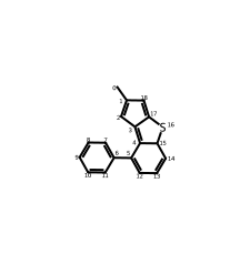 CC1=CC2=C3C(c4ccccc4)=CC=CC3SC2=C1